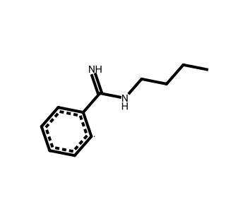 CCCCNC(=N)c1[c]cccc1